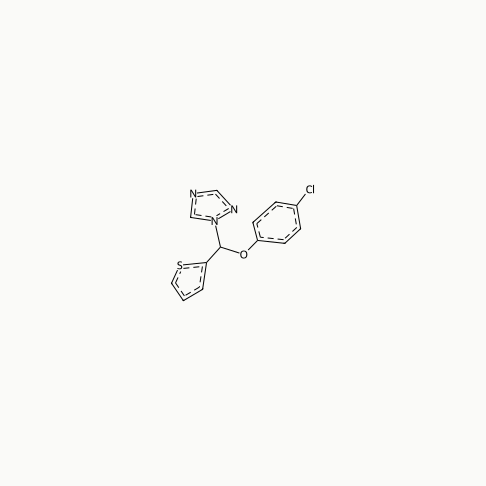 Clc1ccc(OC(c2cccs2)n2cncn2)cc1